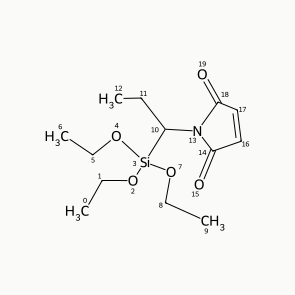 CCO[Si](OCC)(OCC)C(CC)N1C(=O)C=CC1=O